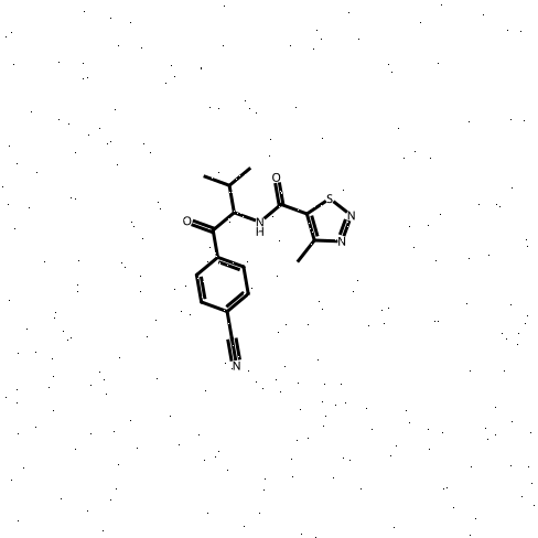 Cc1nnsc1C(=O)NC(C(=O)c1ccc(C#N)cc1)C(C)C